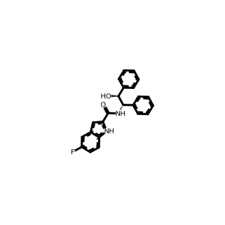 O=C(N[C@@H](c1ccccc1)[C@@H](O)c1ccccc1)c1cc2cc(F)ccc2[nH]1